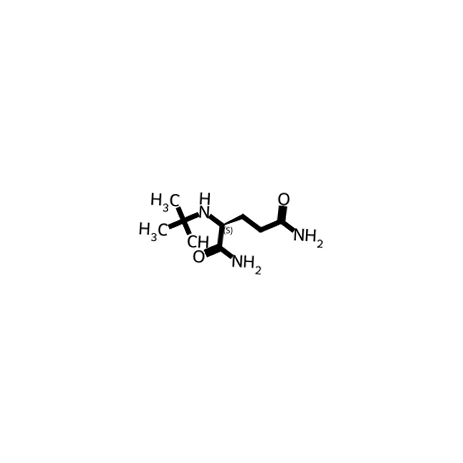 CC(C)(C)N[C@@H](CCC(N)=O)C(N)=O